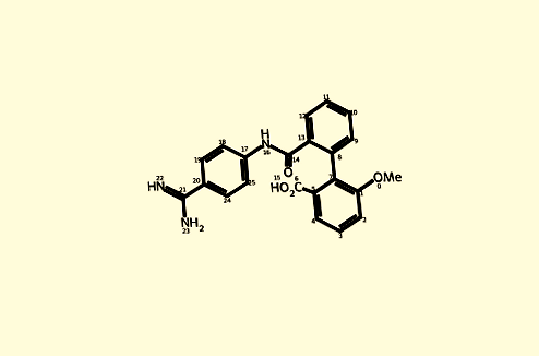 COc1cccc(C(=O)O)c1-c1ccccc1C(=O)Nc1ccc(C(=N)N)cc1